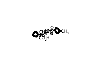 Cc1ccc(S(=O)(=O)NCCSC(C)(C(=O)O)c2ccccc2)cc1